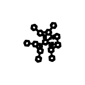 N#Cc1c(Nc2ccc(-c3ccccc3)cc2-c2cccc(-c3ccccc3)c2)cc(-n2c3ccc(-c4ccccc4)cc3c3cc(-c4ccccc4)ccc32)cc1-n1c2ccc(-c3ccccc3)cc2c2cc(-c3ccccc3)ccc21